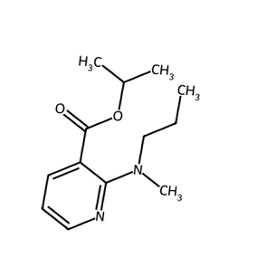 CCCN(C)c1ncccc1C(=O)OC(C)C